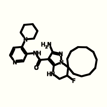 Nc1nn2c(c1C(=O)Nc1cnccc1N1CCCCC1)NCC(F)C21CCCCCCCCCC1